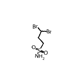 NS(=O)(=O)CCC(Br)Br